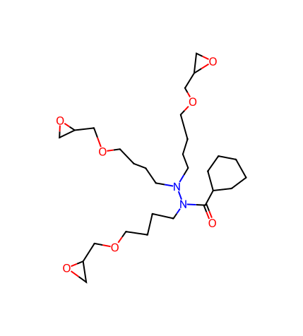 O=C(C1CCCCC1)N(CCCCOCC1CO1)N(CCCCOCC1CO1)CCCCOCC1CO1